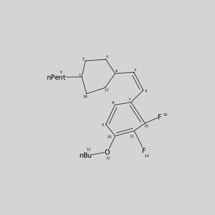 CCCCCC1CCC(/C=C\c2ccc(OCCCC)c(F)c2F)CC1